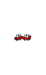 O=C(NCCCNC(=O)c1cc(-c2ccccc2)on1)c1cn(Cc2cccc(-c3cc(C(=O)NCCCNC(=O)c4cnn[nH]4)no3)c2)cn1